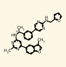 Cc1nc(N[C@@H](C)c2cccc(-c3cnc(NCc4ccco4)nc3)c2)cc(-c2ccc3occ(C)c3c2)n1